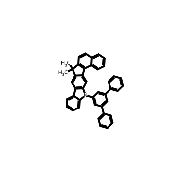 CC1(C)c2cc3c4ccccc4n(-c4cc(-c5ccccc5)cc(-c5ccccc5)c4)c3cc2-c2c1ccc1ccccc21